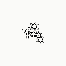 CC(=O)NC1=C(c2ccc3ccccc3c2)c2ccccc2OC1(O)C(F)(F)F